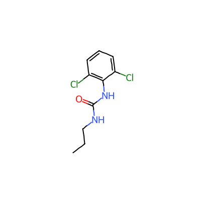 CCCNC(=O)Nc1c(Cl)cccc1Cl